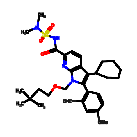 COc1ccc(-c2c(C3CCCCC3)c3ccc(C(=O)NS(=O)(=O)N(C)C)nc3n2COCC[Si](C)(C)C)c(C=O)c1